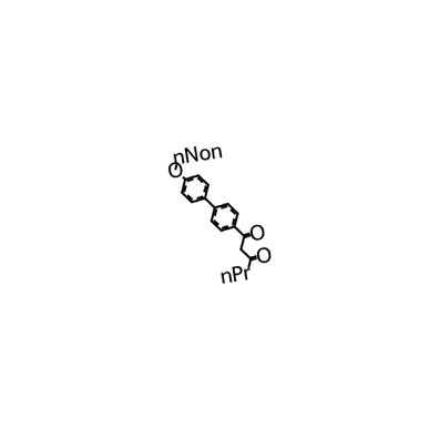 CCCCCCCCCOc1ccc(-c2ccc(C(=O)CC(=O)CCC)cc2)cc1